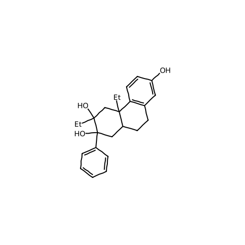 CCC12CC(O)(CC)C(O)(c3ccccc3)CC1CCc1cc(O)ccc12